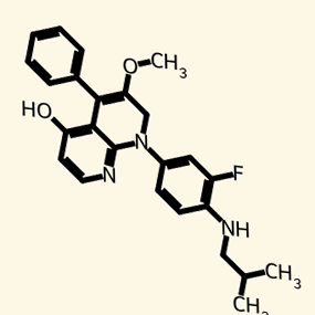 COC1=C(c2ccccc2)c2c(O)ccnc2N(c2ccc(NCC(C)C)c(F)c2)C1